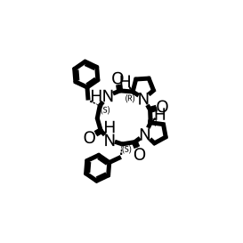 O=C1C[C@H](Cc2ccccc2)NC(=O)[C@H]2CCCN2C(=O)[C@H]2CCCN2C(=O)[C@H](Cc2ccccc2)N1